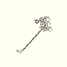 CCC=CCC=CCC=CCC=CCC=CCC=CCCC(=O)NC(C(=O)OC(C)C(NC(=O)c1cccnc1)C(=O)OC)C(C)C